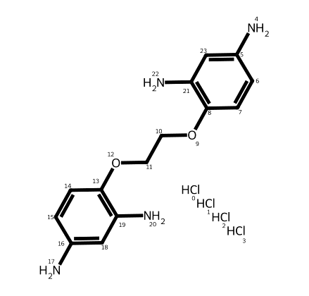 Cl.Cl.Cl.Cl.Nc1ccc(OCCOc2ccc(N)cc2N)c(N)c1